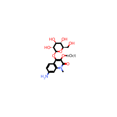 CCCCCCCCOc1c(O[C@@H]2O[C@H](CO)[C@@H](O)[C@H](O)[C@H]2O)c2ccc(N)cc2n(C)c1=O